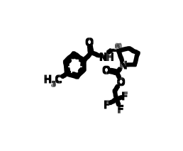 Cc1ccc(C(=O)NC[C@@H]2CCCN2C(=O)OCC(F)(F)F)cc1